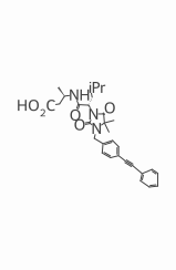 CC(C)C[C@@H](C(=O)N[C@H](C)CC(=O)O)N1C(=O)N(Cc2ccc(C#Cc3ccccc3)cc2)C(C)(C)C1=O